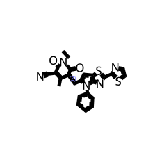 CCN1C(=O)C(C#N)=C(C)/C(=C/c2cc3sc(-c4nccs4)nc3n2-c2ccccc2)C1=O